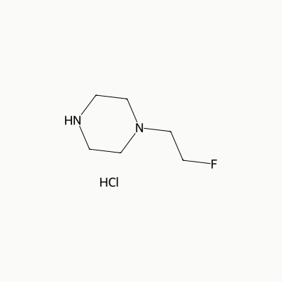 Cl.FCCN1CCNCC1